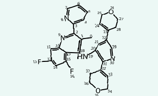 Cc1c(-c2ccccn2)nc2cc(F)cc(F)c2c1Nc1cc(C2=CCOCC2)cnc1C1=CCOCC1